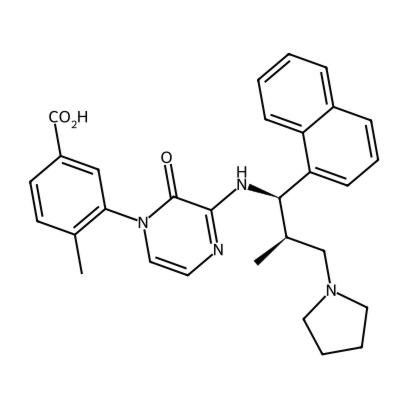 Cc1ccc(C(=O)O)cc1-n1ccnc(N[C@@H](c2cccc3ccccc23)[C@H](C)CN2CCCC2)c1=O